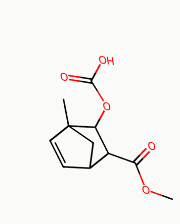 COC(=O)C1C2C=CC(C)(C2)C1OC(=O)O